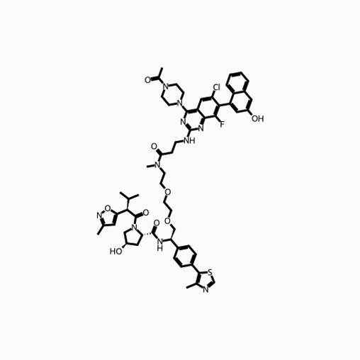 CC(=O)N1CCN(c2nc(NCCC(=O)N(C)CCOCCOC[C@H](NC(=O)[C@@H]3C[C@@H](O)CN3C(=O)[C@@H](c3cc(C)no3)C(C)C)c3ccc(-c4scnc4C)cc3)nc3c(F)c(-c4cc(O)cc5ccccc45)c(Cl)cc23)CC1